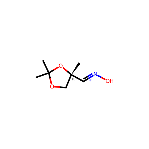 CC1(C)OC[C@@](C)(/C=N/O)O1